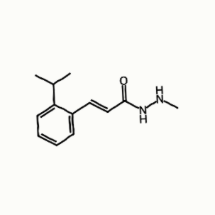 CNNC(=O)/C=C/c1ccccc1C(C)C